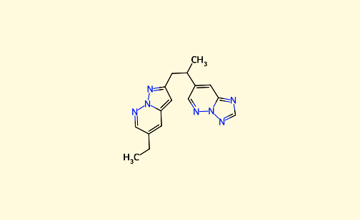 CCc1cnn2nc(CC(C)c3cnn4ncnc4c3)cc2c1